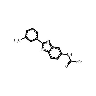 CCCC(=O)Nc1ccc2oc(-c3cccc(C)c3)nc2c1